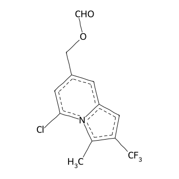 Cc1c(C(F)(F)F)cc2cc(COC=O)cc(Cl)n12